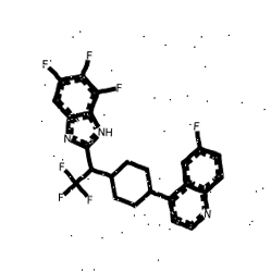 Fc1ccc2nccc(C3CCC(C(c4nc5cc(F)c(F)c(F)c5[nH]4)C(F)(F)F)CC3)c2c1